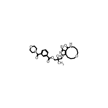 CCc1nn(CC(C)(C)COC(=O)c2cccc(C(=O)N3CCOCC3)c2)c2c1C(=O)NCCCOCCC2